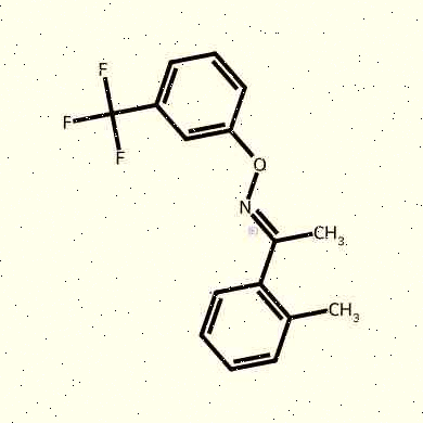 C/C(=N\Oc1cccc(C(F)(F)F)c1)c1[c]cccc1C